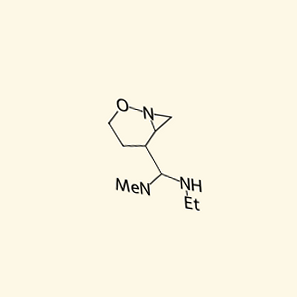 CCNC(NC)C1CCON2CC12